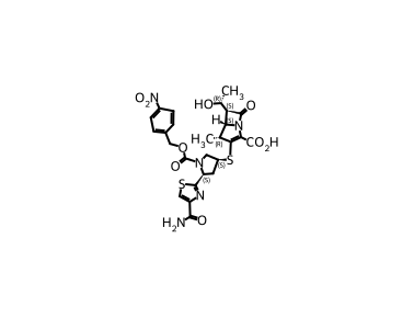 C[C@@H](O)[C@H]1C(=O)N2C(C(=O)O)=C(S[C@H]3C[C@@H](c4nc(C(N)=O)cs4)N(C(=O)OCc4ccc([N+](=O)[O-])cc4)C3)[C@H](C)[C@H]12